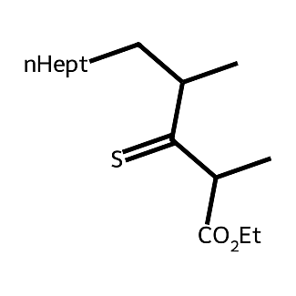 CCCCCCCCC(C)C(=S)C(C)C(=O)OCC